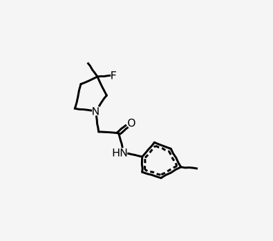 Cc1ccc(NC(=O)CN2CCC(C)(F)C2)cc1